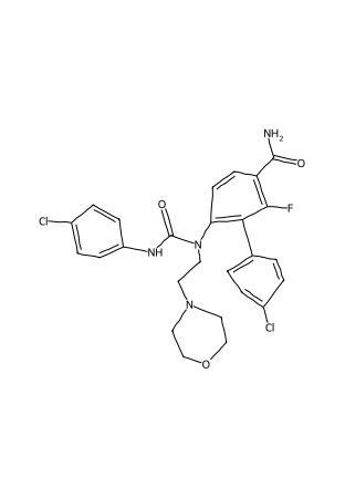 NC(=O)c1ccc(N(CCN2CCOCC2)C(=O)Nc2ccc(Cl)cc2)c(-c2ccc(Cl)cc2)c1F